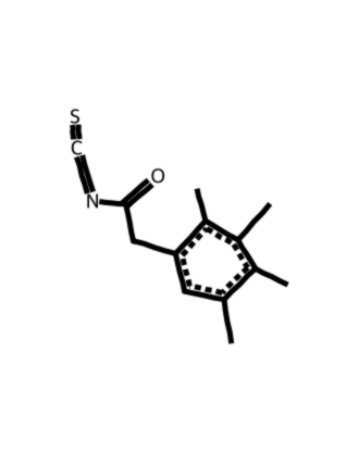 Cc1cc(CC(=O)N=C=S)c(C)c(C)c1C